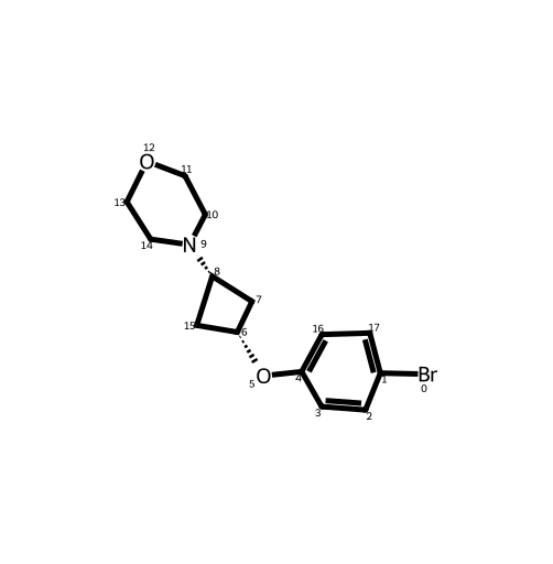 Brc1ccc(O[C@H]2C[C@@H](N3CCOCC3)C2)cc1